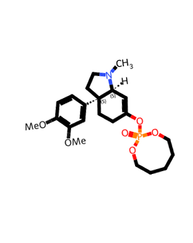 COc1ccc([C@@]23CCC(OP4(=O)OCCCCCO4)=C[C@@H]2N(C)CC3)cc1OC